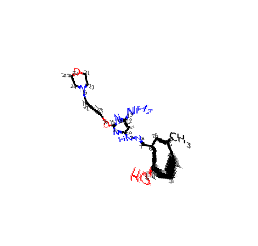 Cc1ccc(O)c(C=NNc2cc(N)nc(OCCN3CCOCC3)n2)c1